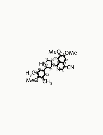 COc1cc2c(C#N)cnc(N3CCNC(c4cc(C)c(OC)c(C)c4)C3)c2cc1OC